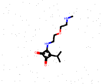 CNCCOCCNc1c(C(C)C)c(=O)c1=O